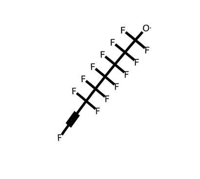 [O]C(F)(F)C(F)(F)C(F)(F)C(F)(F)C(F)(F)C(F)(F)C#CF